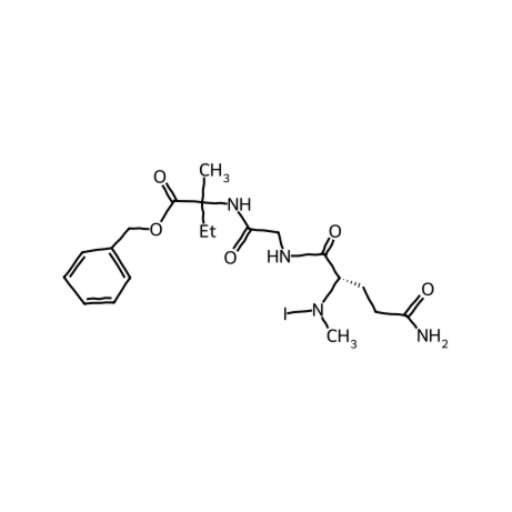 CCC(C)(NC(=O)CNC(=O)[C@H](CCC(N)=O)N(C)I)C(=O)OCc1ccccc1